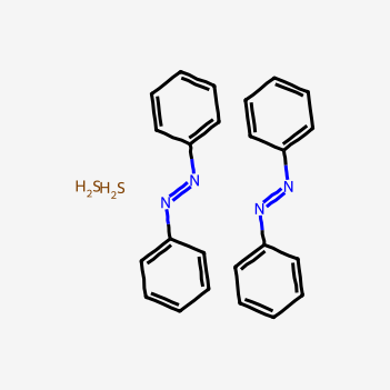 S.S.c1ccc(/N=N/c2ccccc2)cc1.c1ccc(/N=N/c2ccccc2)cc1